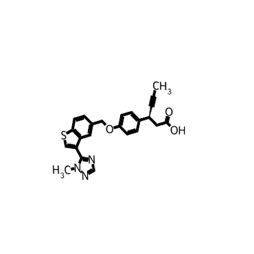 CC#C[C@@H](CC(=O)O)c1ccc(OCc2ccc3scc(-c4ncnn4C)c3c2)cc1